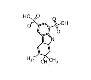 CC1=CC2=c3cc(S(=O)(=O)O)cc(S(=O)(=O)O)c3=NC2=CC1(C)C